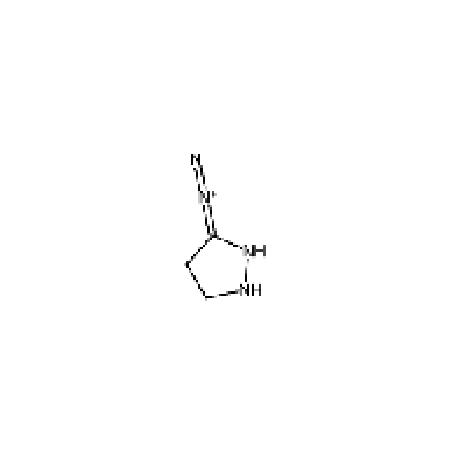 [N-]=[N+]=C1CCNN1